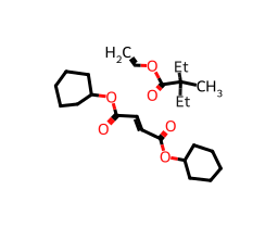 C=COC(=O)C(C)(CC)CC.O=C(/C=C/C(=O)OC1CCCCC1)OC1CCCCC1